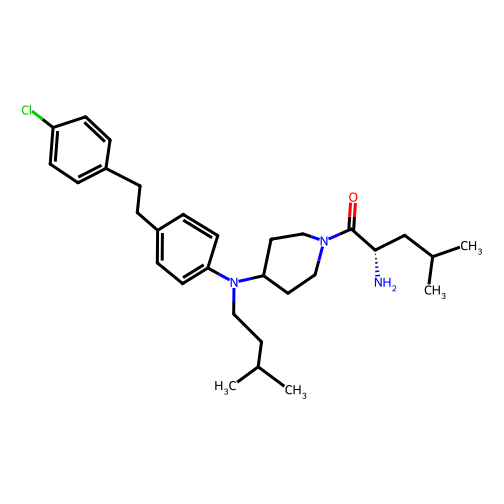 CC(C)CCN(c1ccc(CCc2ccc(Cl)cc2)cc1)C1CCN(C(=O)[C@@H](N)CC(C)C)CC1